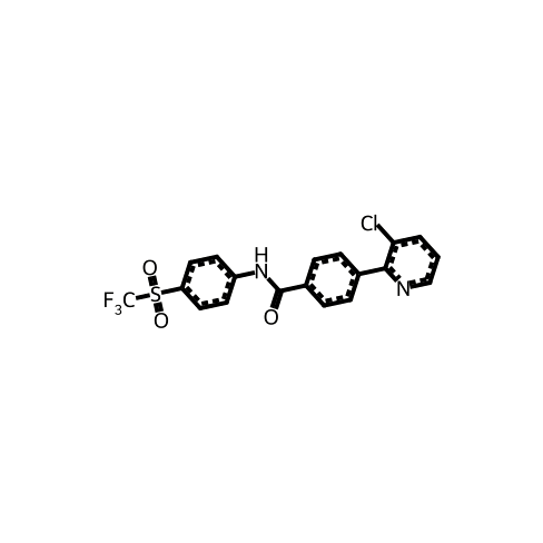 O=C(Nc1ccc(S(=O)(=O)C(F)(F)F)cc1)c1ccc(-c2ncccc2Cl)cc1